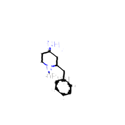 CCCCCN1CCC(N)CC1Cc1ccccc1